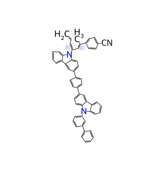 C=C/C=C(\C=C(/C)c1ccc(C#N)cc1)n1c2ccccc2c2cc(-c3ccc(-c4ccc5c(c4)c4ccccc4n5-c4cccc(-c5ccccc5)c4)cc3)ccc21